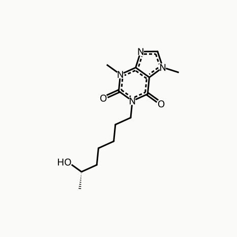 C[C@H](O)CCCCCn1c(=O)c2c(ncn2C)n(C)c1=O